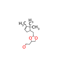 CC1=CCC(CC2OCC(CC=O)O2)C1(C)C